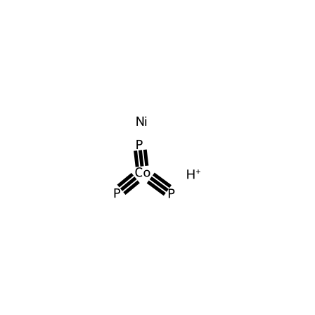 [H+].[Ni].[P]#[Co](#[P])#[P]